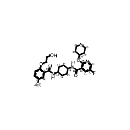 CCc1ccc(OCCO)c(C(=O)NC2CCC(NC(=O)c3cc(F)cnc3OC3CCSCC3)CC2)c1